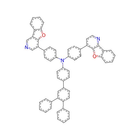 c1ccc(-c2ccc(-c3ccc(N(c4ccc(-c5cncc6c5oc5ccccc56)cc4)c4ccc(-c5ccnc6c5oc5ccccc56)cc4)cc3)cc2-c2ccccc2)cc1